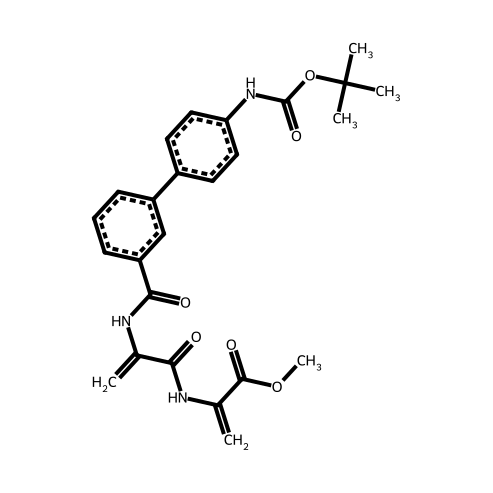 C=C(NC(=O)c1cccc(-c2ccc(NC(=O)OC(C)(C)C)cc2)c1)C(=O)NC(=C)C(=O)OC